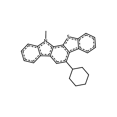 Cn1c2ccccc2c2cc(C3CCCCC3)c3c4ccccc4sc3c21